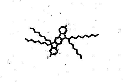 CCCCCCCCCC(CCCCCCC)C1C2=CC(Br)=CCC2c2cc3c(cc21)-c1ccc(Br)cc1C3(CCCCCCCC)CCCCCCCC